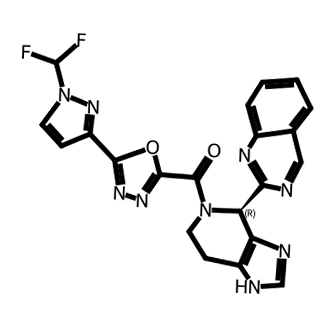 O=C(c1nnc(-c2ccn(C(F)F)n2)o1)N1CCc2[nH]cnc2[C@@H]1c1ncc2ccccc2n1